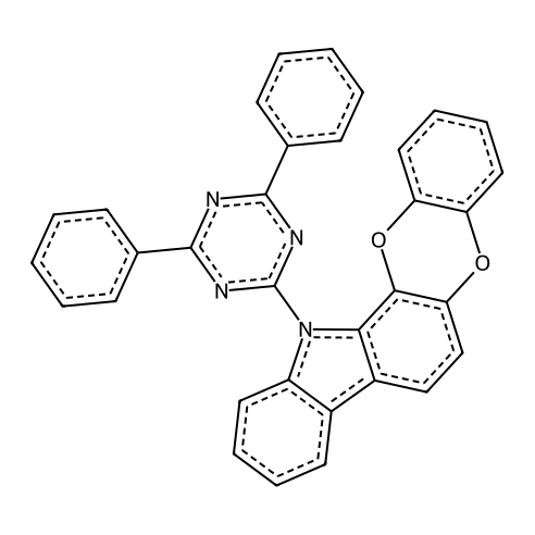 c1ccc(-c2nc(-c3ccccc3)nc(-n3c4ccccc4c4ccc5c(c43)Oc3ccccc3O5)n2)cc1